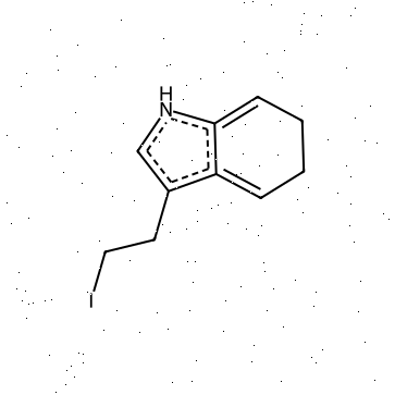 ICCc1c[nH]c2c1=CCCC=2